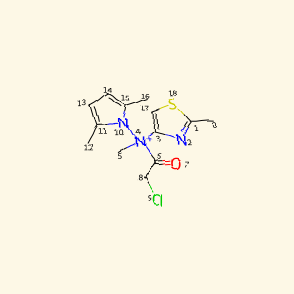 Cc1nc([N+](C)(C(=O)CCl)n2c(C)ccc2C)cs1